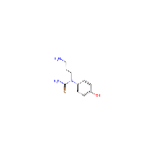 NCCCN(C(N)=S)c1ccc(O)cc1